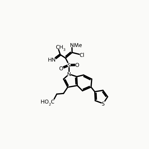 CN/C(Cl)=C(\C(C)=N)S(=O)(=O)n1cc(CCC(=O)O)c2cc(-c3ccsc3)ccc21